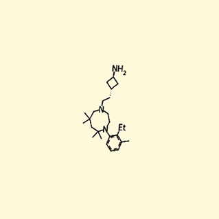 CCc1c(C)cccc1N1CCN(CC[C@H]2C[C@H](N)C2)CC(C)(C)CC1(C)C